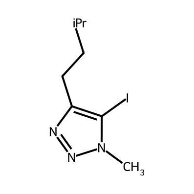 CC(C)CCc1nnn(C)c1I